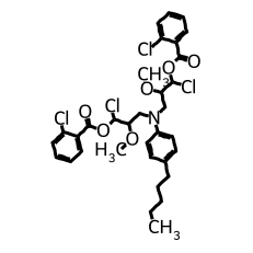 CCCCCc1ccc(N(CC(OC)C(Cl)OC(=O)c2ccccc2Cl)CC(OC)C(Cl)OC(=O)c2ccccc2Cl)cc1